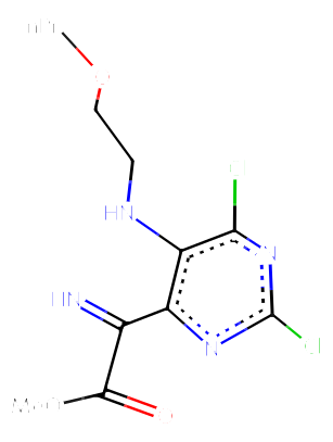 CCCOCCNc1c(Cl)nc(Cl)nc1C(=N)C(=O)OC